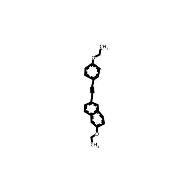 CCOc1ccc(C#Cc2ccc3cc(OCC)ccc3c2)cc1